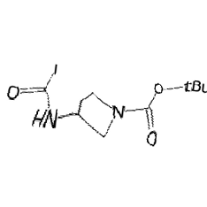 CC(C)(C)OC(=O)N1CC(NC(=O)I)C1